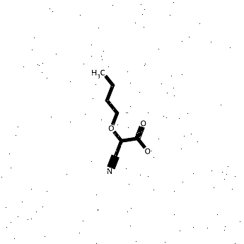 CCCCOC(C#N)C([O])=O